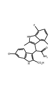 Cc1[nH]c2c(F)ccc(C)c2c1C(C(N)=O)c1c(C(=O)O)[nH]c2cc(Cl)ccc12